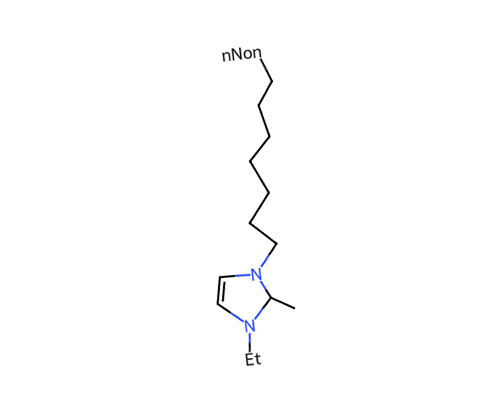 CCCCCCCCCCCCCCCCN1C=CN(CC)C1C